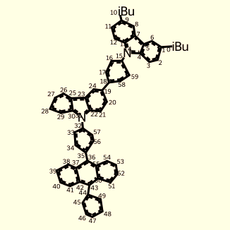 CCC(C)c1ccc2c(c1)c1cc(C(C)CC)ccc1n2-c1ccc(-c2ccc3c(c2)c2ccccc2n3-c2ccc(-c3c4ccccc4c(-c4ccccc4)c4ccccc34)cc2)cc1